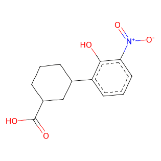 O=C(O)C1CCCC(c2cccc([N+](=O)[O-])c2O)C1